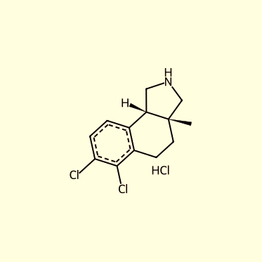 C[C@@]12CCc3c(ccc(Cl)c3Cl)[C@@H]1CNC2.Cl